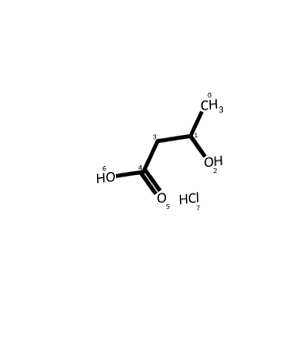 CC(O)CC(=O)O.Cl